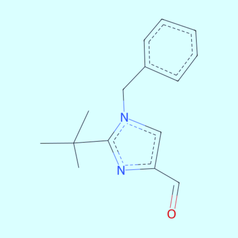 CC(C)(C)c1nc(C=O)cn1Cc1ccccc1